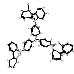 CC1=C(c2ccccc2Nc2ccc(N(C3=C=C=C(NC4C=CC=CC4c4ccccc4C)C=C3)c3ccc(-n4c5c(c6c4CCC=C6)C(C)CC=C5)cc3)cc2)C=CCC1